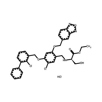 CCOC(=O)[C@@H](CO)NCc1cc(Cl)c(OCc2cccc(-c3ccccc3)c2Cl)cc1OCc1ccc2nonc2c1.Cl